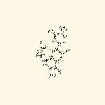 COc1c(-c2cnc(N)c(Cl)c2)c(F)cc2c(=O)c(C(=O)O)cn([C@@H]3C[C@@H]3F)c12